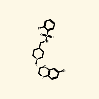 O=S(=O)(NCC1CCN(C[C@H]2COc3ccc(Br)cc3O2)CC1)c1ccccc1F